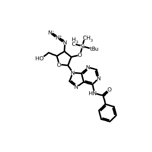 CC(C)(C)[Si](C)(C)OC1C(N=[N+]=[N-])C(CO)OC1n1cnc2c(NC(=O)c3ccccc3)ncnc21